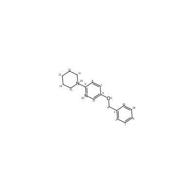 c1ccc(COc2ccc(N3CCCCC3)nc2)cc1